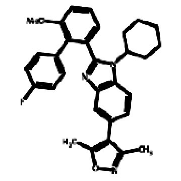 COc1cccc(-c2nc3cc(-c4c(C)noc4C)ccc3n2C2CCCCC2)c1-c1ccc(F)cc1